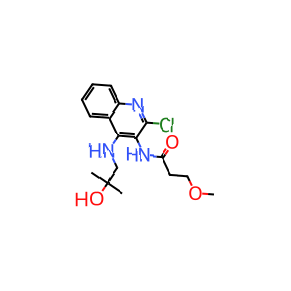 COCCC(=O)Nc1c(Cl)nc2ccccc2c1NCC(C)(C)O